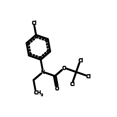 CCN(C(=O)OC(Cl)(Cl)Cl)c1ccc(Cl)cc1